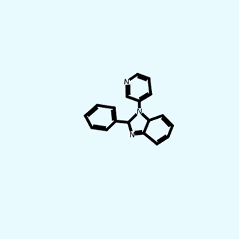 C1=CC2=NC(c3ccccc3)N(c3cccnc3)C2C=C1